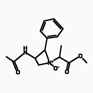 COC(=O)C(C)[N+]1([O-])CC(NC(C)=O)C1c1ccccc1